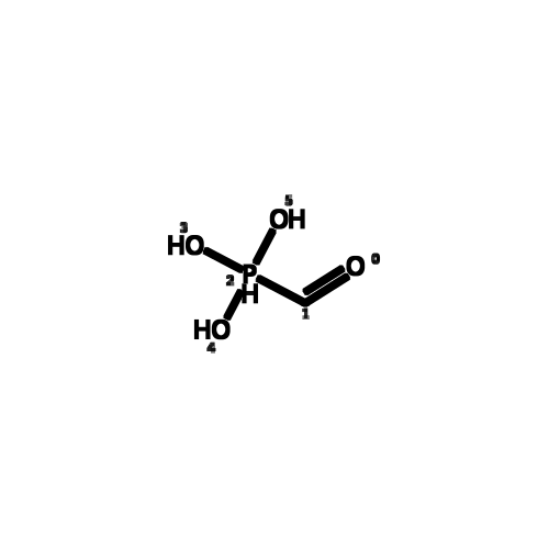 O=C[PH](O)(O)O